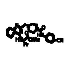 COC(=O)[C@@H](Nc1nc(CN2CCN(C(=O)Nc3ccc(C#N)cc3)CC2)nc2ccccc12)C(C)C